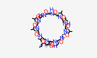 C/C=C/C[C@@H](C)[C@@H](O)[C@H]1C(=O)NC(CC)C(=O)N(C)CC(=O)N(C)[C@@H](CC(C)C)C(=O)N[C@@H](C(C)C)C(=O)N(C)[C@@H](CC(C)C)C(=O)N[C@@H](C)C(=O)N[C@H](C)C(=O)N(C)[C@@H](CC(C)C)C(=O)N(C)[C@@H](CC(C)C)C(=O)N(C)C(C(C)C)C(=O)N1C